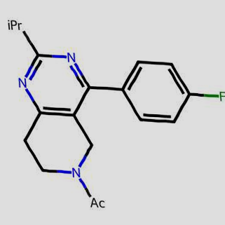 CC(=O)N1CCc2nc(C(C)C)nc(-c3ccc(F)cc3)c2C1